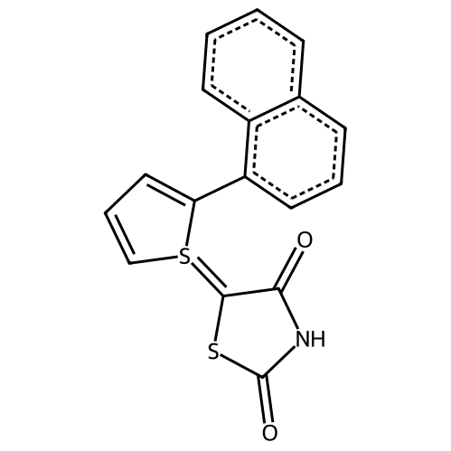 O=C1NC(=O)C(=S2C=CC=C2c2cccc3ccccc23)S1